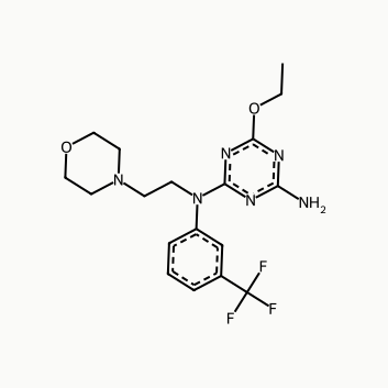 CCOc1nc(N)nc(N(CCN2CCOCC2)c2cccc(C(F)(F)F)c2)n1